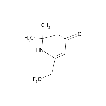 CC1(C)CC(=O)C=C(CC(F)(F)F)N1